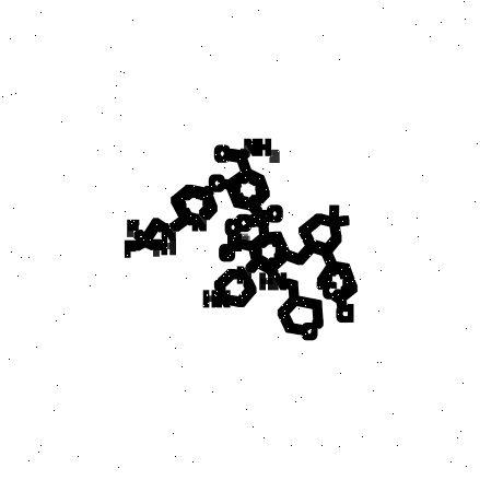 CC1(C)CCC(Cc2cc(S(=O)(=O)c3ccc(C(N)=O)c(Oc4ccc(NCC(F)(F)F)nc4)c3)c([N+](=O)[O-])c(N3CCNCC3)c2NCC2CCOCC2)=C(c2ccc(Cl)cc2)C1